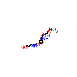 O=C(NCCCO[N+](=O)[O-])c1cc2cc(OCCCNCCCO)ccc2[nH]1